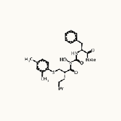 CNC(=O)[C@H](Cc1ccccc1)NC(=O)N(O)C(=O)[C@H](CCC(C)C)CSc1ccc(C)cc1C